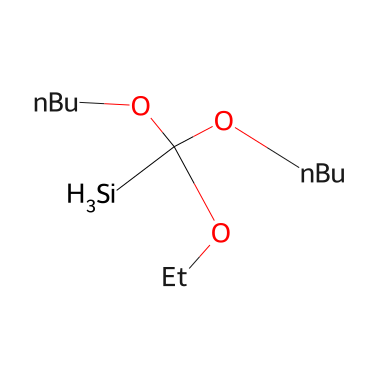 CCCCOC([SiH3])(OCC)OCCCC